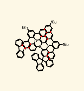 CC(C)(C)c1ccc(-c2cc3c4c(c2)N(c2c(-c5ccccc5)cc(C(C)(C)C)cc2-c2ccccc2)c2cc5c(cc2B4c2ccc(-n4c6ccccc6c6ccccc64)cc2N3c2c(-c3ccccc3)cc(C(C)(C)C)cc2-c2ccccc2)C2(c3ccccc3-c3ccccc32)c2ccccc2-5)cc1